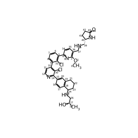 COc1nc(-c2cccc(-c3ccnc(-c4ccc5c(c4)CCCC5NC[C@@H](C)O)c3Cl)c2Cl)ccc1CNC[C@@H]1CCC(=O)N1